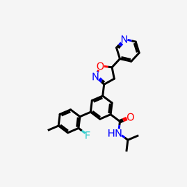 Cc1ccc(-c2cc(C(=O)NC(C)C)cc(C3=NOC(c4cccnc4)C3)c2)c(F)c1